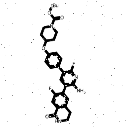 CC(C)(C)OC(=O)N1CCC(Oc2ccc(-c3cc(-c4cc5c(cc4F)C(=O)NCC5)c(N)nc3F)cc2)CC1